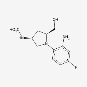 Nc1cc(F)ccc1N1C[C@@H](NC(=O)O)C[C@H]1CO